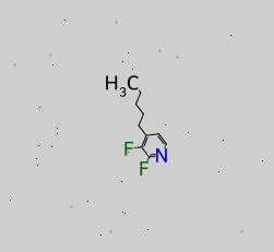 CCCCCc1ccnc(F)c1F